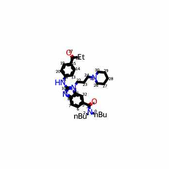 CCCCN(CCCC)C(=O)c1ccc2nc(Nc3ccc(C(=O)CC)cc3)n(CCCN3CCCCC3)c2c1